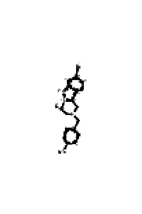 COc1ccc(CN2Cc3c4ccc(Br)cc4nn3[C@H](C)C2)cc1